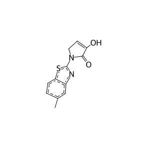 Cc1ccc2sc(N3CC=C(O)C3=O)nc2c1